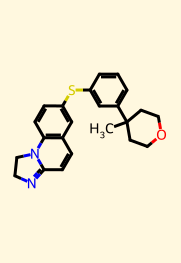 CC1(c2cccc(Sc3ccc4c(c3)C=CC3=NCCN34)c2)CCOCC1